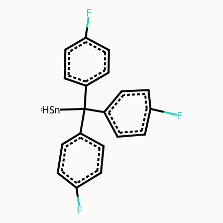 Fc1ccc([C]([SnH])(c2ccc(F)cc2)c2ccc(F)cc2)cc1